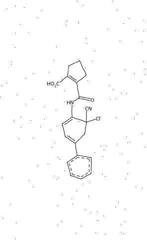 N#CC1(Cl)CC(c2ccccc2)=CC=C1NC(=O)C1=C(C(=O)O)CCC1